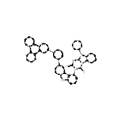 O=c1nc2n(-c3ccccc3)c3ccccc3n2c(=O)n1-c1cccc2oc3ccc(-c4cccc(-c5ccc6c7ccccc7c7ccccc7c6c5)c4)cc3c12